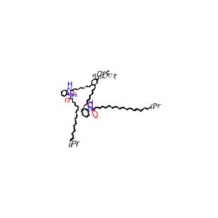 CCCCCCCCC1CC(CCCCCCC(=O)C[C@@H]2CCCC[C@@H]2NC(=O)CCCCCCCCCCCCCCCCC(C)C)C(CCCCCCC(=O)N[C@H]2CCCC[C@H]2NC(=O)CCCCCCCCCCCCCCCC(C)C)CC1CCCCCCCC